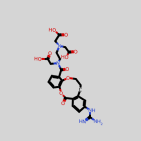 N=C(N)Nc1ccc2c(c1)CCCOc1c(cccc1C(=O)N(CCN(CC(=O)O)CC(=O)O)CC(=O)O)OC2=O